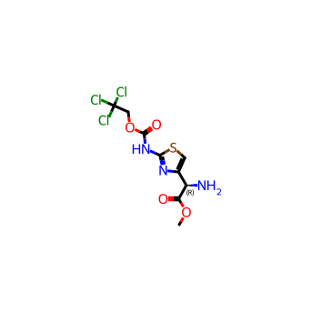 COC(=O)[C@H](N)c1csc(NC(=O)OCC(Cl)(Cl)Cl)n1